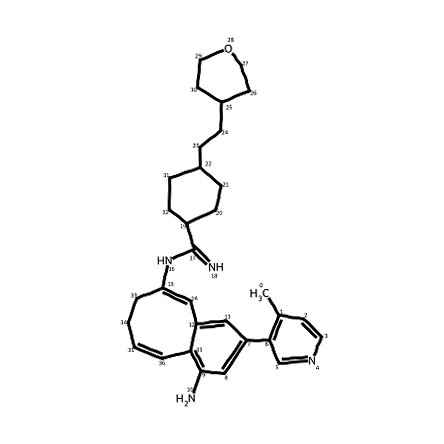 Cc1ccncc1-c1cc(N)c2c(c1)/C=C(/NC(=N)C1CCC(CCC3CCOCC3)CC1)CC/C=C\2